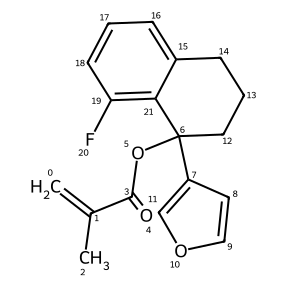 C=C(C)C(=O)OC1(c2ccoc2)CCCc2cccc(F)c21